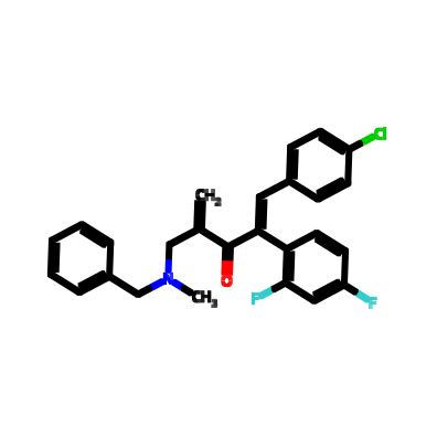 C=C(CN(C)Cc1ccccc1)C(=O)/C(=C/c1ccc(Cl)cc1)c1ccc(F)cc1F